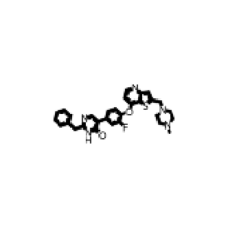 CN1CCN(Cc2cc3nccc(Oc4ccc(-c5cnc(Cc6ccccc6)[nH]c5=O)cc4F)c3s2)CC1